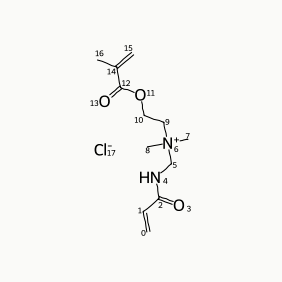 C=CC(=O)NC[N+](C)(C)CCOC(=O)C(=C)C.[Cl-]